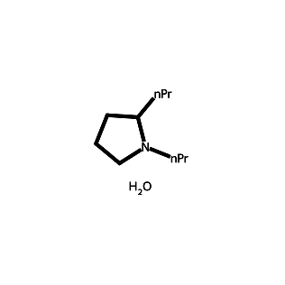 CCCC1CCCN1CCC.O